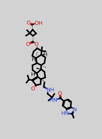 Cc1nc2ccc(C(=O)NC(C)(C)CNCC[C@@]34CC[C@]5(C)[C@H](CC[C@@H]6[C@@]7(C)CC[C@H](OC(=O)[C@H]8C[C@@H](C(=O)O)C8(C)C)C(C)(C)[C@@H]7CC[C@]65C)C3=C(C(C)C)C(=O)C4)cc2[nH]1